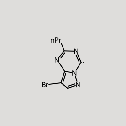 CCCc1n[c]n2ncc(Br)c2n1